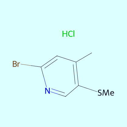 CSc1cnc(Br)cc1C.Cl